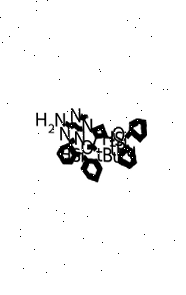 CC(C)(C)C(O[SiH](c1ccccc1)c1ccccc1)[C@@H]1[C@@H](C(O[SiH](c2ccccc2)c2ccccc2)C(C)(C)C)C[C@@H]1n1cnc2c(N)ncnc21